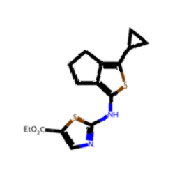 CCOC(=O)c1cnc(Nc2sc(C3CC3)c3c2CCC3)s1